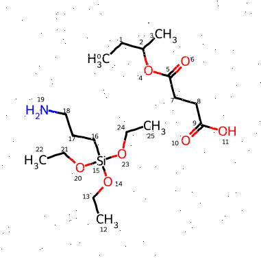 CCC(C)OC(=O)CCC(=O)O.CCO[Si](CCCN)(OCC)OCC